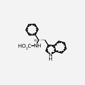 O=C(O)N[C@@H](Cc1c[nH]c2ccccc12)c1ccccc1